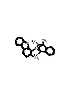 Cc1ccc2c(oc3ccccc32)c1N1[C@@H](C)C2(C)CC1(C)c1ccccc12